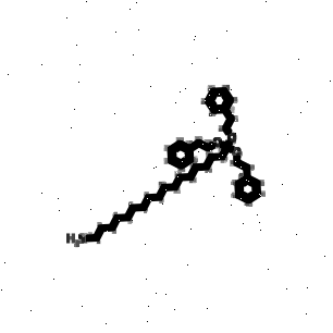 [SiH3]CCCCCCCCCCCCCCCCCC(OCCc1ccccc1)(OCCc1ccccc1)OCCc1ccccc1